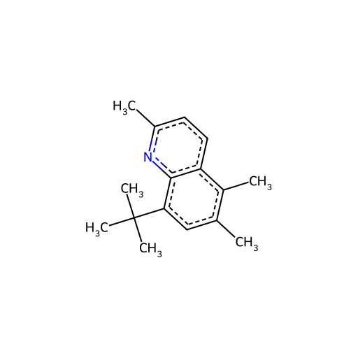 Cc1ccc2c(C)c(C)cc(C(C)(C)C)c2n1